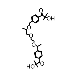 CC(COCCOC(C)c1ccc(C(=O)C(C)(C)O)cc1)OCc1ccc(C(=O)C(C)(C)O)cc1